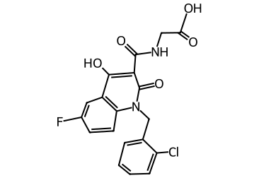 O=C(O)CNC(=O)c1c(O)c2cc(F)ccc2n(Cc2ccccc2Cl)c1=O